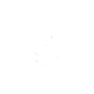 CCn1n[c]c(Cl)c1OC(F)(F)F